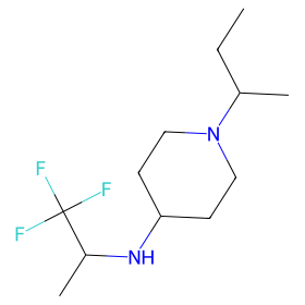 CCC(C)N1CCC(NC(C)C(F)(F)F)CC1